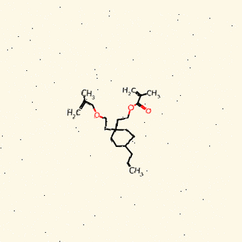 C=C(C)COCCC1(CCOC(=O)C(=C)C)CCC(CCC)CC1